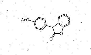 CC(=O)Oc1ccc(C2C(=O)Oc3ccccc32)cc1